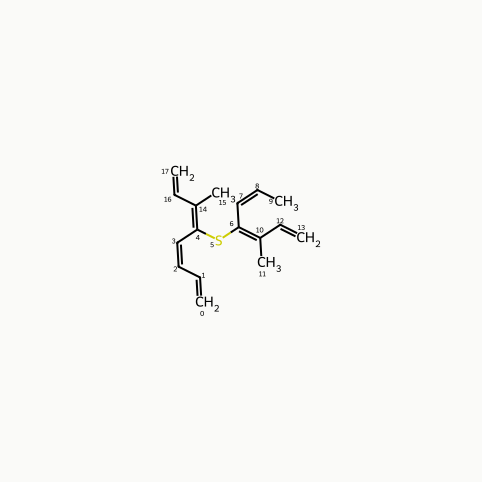 C=C/C=C\C(SC(/C=C\C)=C(\C)C=C)=C(\C)C=C